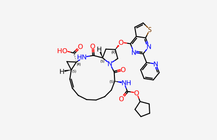 O=C(N[C@H]1CCCCCC=C[C@@H]2C[C@@]2(C(=O)O)NC(=O)[C@@H]2C[C@@H](Oc3nc(-c4ccccn4)nc4sccc34)CN2C1=O)OC1CCCC1